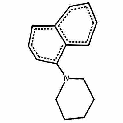 [c]1cccc2c(N3CCCCC3)cccc12